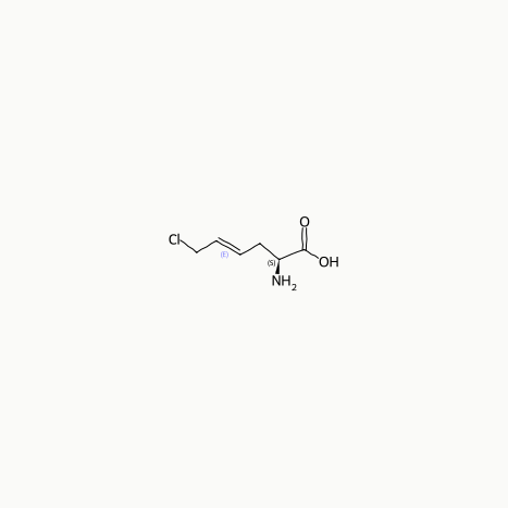 N[C@@H](C/C=C/CCl)C(=O)O